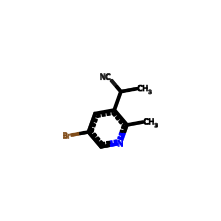 Cc1ncc(Br)cc1C(C)C#N